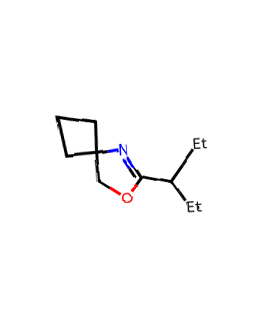 CCC(CC)C1=NC2(CCC2)CO1